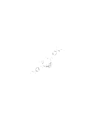 O=C(CBr)Nc1ccc(CNC23CNCCNCC(NCc4ccc(NC(=O)CBr)cc4)(CNCCNC2)CNCCNC3)cc1